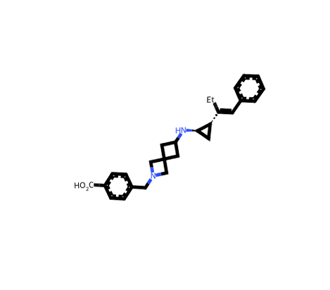 CC/C(=C\c1ccccc1)[C@@H]1C[C@H]1NC1CC2(C1)CN(Cc1ccc(C(=O)O)cc1)C2